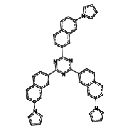 c1ccn(-c2ccc3ccc(-c4nc(-c5ccc6ccc(-n7cccc7)cc6c5)nc(-c5ccc6ccc(-n7cccc7)cc6c5)n4)cc3c2)c1